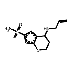 C=CCNC1CCSc2sc(S(N)(=O)=O)cc21